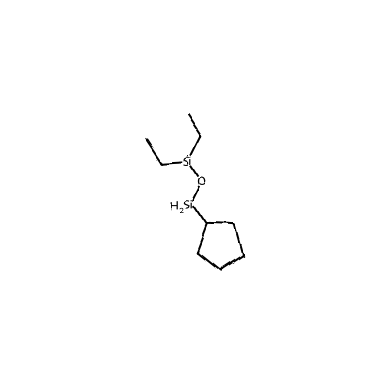 CC[Si](CC)O[SiH2]C1CCCC1